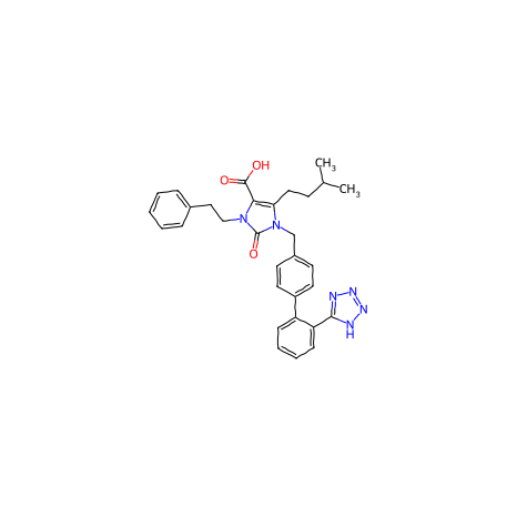 CC(C)CCc1c(C(=O)O)n(CCc2ccccc2)c(=O)n1Cc1ccc(-c2ccccc2-c2nnn[nH]2)cc1